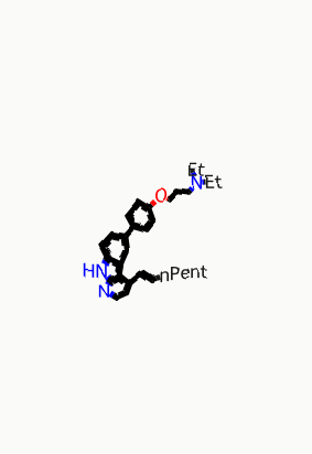 CCCCCC=Cc1ccnc2[nH]c3ccc(-c4ccc(OCCCN(CC)CC)cc4)cc3c12